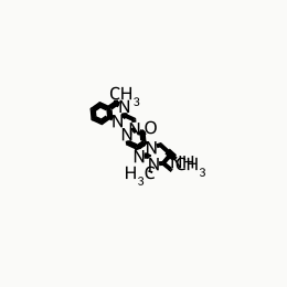 CC#CCn1c(N(C)C2CNC2)nc2cnn(Cc3nc(C)c4ccccc4n3)c(=O)c21